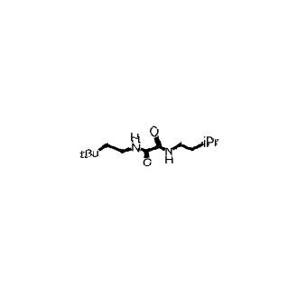 CC(C)CCNC(=O)C(=O)NCCC(C)(C)C